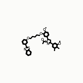 COc1ccc(C2CC(c3cc(C)c(C)c(OC)c3)=NN2C(C)=O)cc1OCCCCCOc1cccc(-c2nc3ccccc3s2)c1